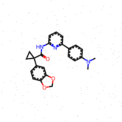 CN(C)c1ccc(-c2cccc(NC(=O)C3(c4ccc5c(c4)OCO5)CC3)n2)cc1